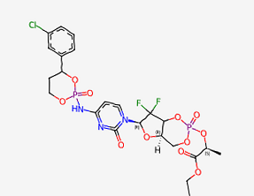 CCOC(=O)[C@H](C)OP1(=O)OC[C@H]2O[C@@H](n3ccc(NP4(=O)OCCC(c5cccc(Cl)c5)O4)nc3=O)C(F)(F)C2O1